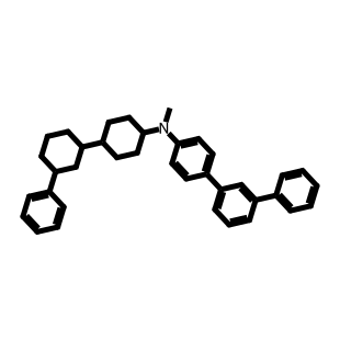 CN(c1ccc(-c2cccc(-c3ccccc3)c2)cc1)C1CCC(C2CCCC(c3ccccc3)C2)CC1